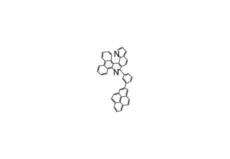 c1cc(-c2cc3ccc4cccc5ccc(c2)c3c45)cc(-c2nc3c4ccccc4c4ccccc4c3c3c2ccc2cccnc23)c1